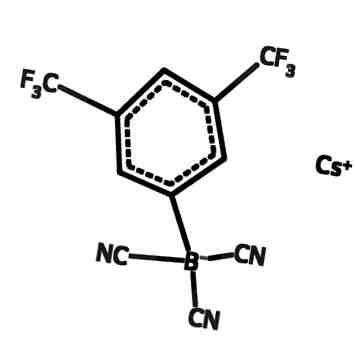 N#C[B-](C#N)(C#N)c1cc(C(F)(F)F)cc(C(F)(F)F)c1.[Cs+]